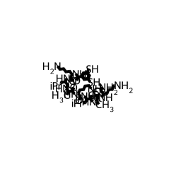 CC(C)CC(NC(=O)C(CCCCN)NC(=O)c1cc(S)cc(S)c1)C(=O)NC(C)C(=O)NC(CCCCN)C(=O)NC(CC(C)C)C(=O)NC(C)C(=O)NC(CCCCN)C(N)=O